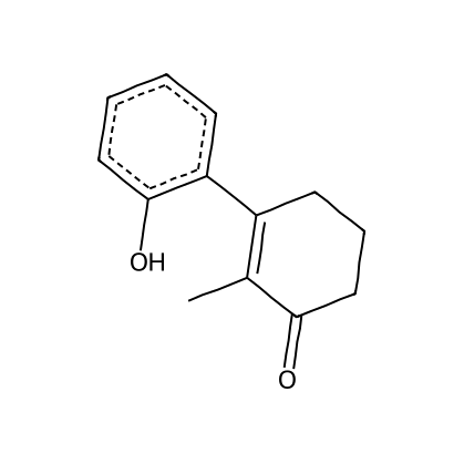 CC1=C(c2ccccc2O)CCCC1=O